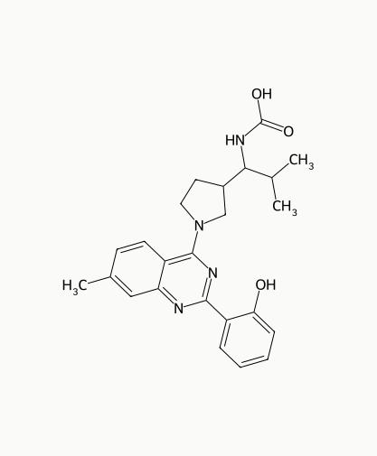 Cc1ccc2c(N3CCC(C(NC(=O)O)C(C)C)C3)nc(-c3ccccc3O)nc2c1